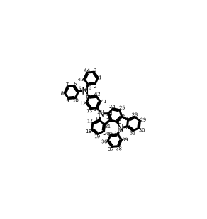 c1ccc(N(c2ccccc2)c2ccc(-n3c4ccccc4c4c3ccc3c5ccccc5n(-c5ccccc5)c34)cc2)cc1